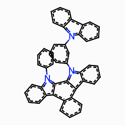 c1ccc(-n2c3ccccc3c3c4ccccc4c4c5ccccc5n(-c5cccc(-n6c7ccccc7c7ccccc76)c5)c4c32)cc1